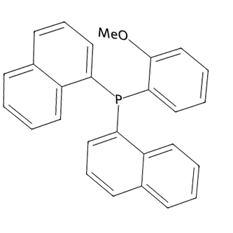 COc1ccccc1P(c1cccc2ccccc12)c1cccc2ccccc12